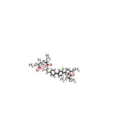 C=C(C)C(=O)OCC(COC(=O)C(=C)C)Cc1ccc(-c2ccc(C(=C)/C=C\C(=C/C)OC(=O)C(=C)C)c(F)c2)cc1